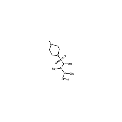 CCCCCN(O)N(O)C(CCCC)S(=O)(=O)N1CCN(C)CC1